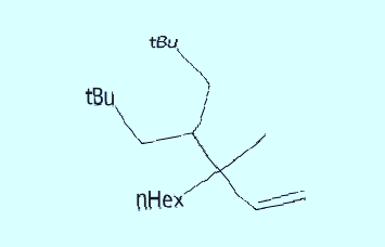 C=CC(C)(CCCCCC)C(CC(C)(C)C)CC(C)(C)C